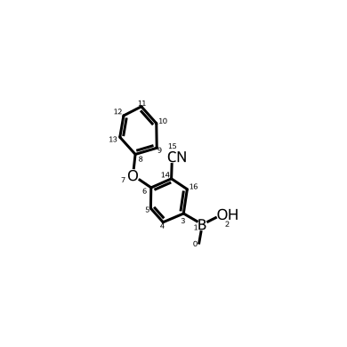 CB(O)c1ccc(Oc2ccccc2)c(C#N)c1